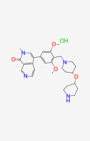 COc1cc(-c2cn(C)c(=O)c3cnccc23)cc(OC)c1CN1CCC(OC2CCNCC2)CC1.Cl